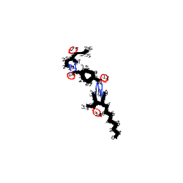 CCCCCCCCC1CN(C(=O)c2ccc(C(=O)N3CCC(C(=O)CC)C3)cc2)CC1C(C)=O